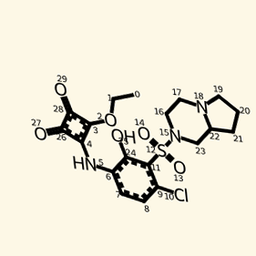 CCOc1c(Nc2ccc(Cl)c(S(=O)(=O)N3CCN4CCCC4C3)c2O)c(=O)c1=O